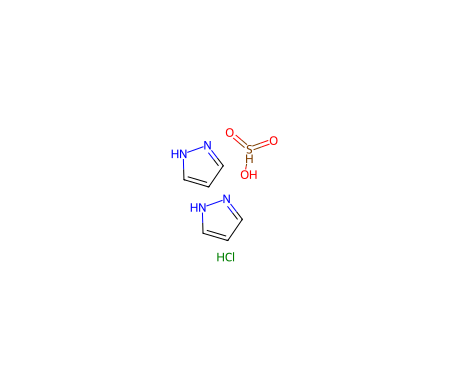 Cl.O=[SH](=O)O.c1cn[nH]c1.c1cn[nH]c1